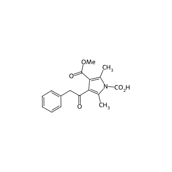 COC(=O)c1c(C(=O)Cc2ccccc2)c(C)n(C(=O)O)c1C